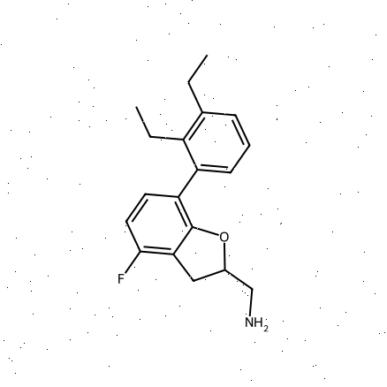 CCc1cccc(-c2ccc(F)c3c2OC(CN)C3)c1CC